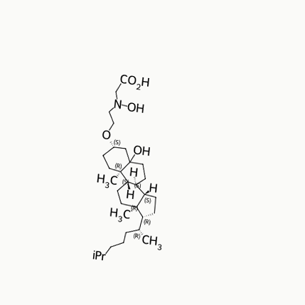 CC(C)CCC[C@@H](C)[C@H]1CC[C@H]2[C@@H]3CCC4(O)C[C@@H](OCCN(O)CC(=O)O)CC[C@]4(C)[C@H]3CC[C@]12C